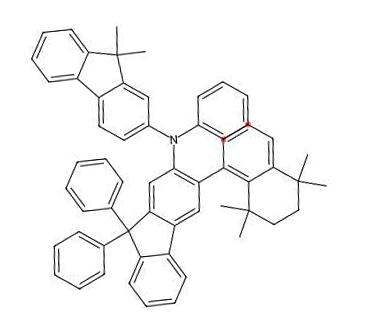 CC1(C)CCC(C)(C)c2c(-c3cc4c(cc3N(c3ccccc3)c3ccc5c(c3)C(C)(C)c3ccccc3-5)C(c3ccccc3)(c3ccccc3)c3ccccc3-4)cccc21